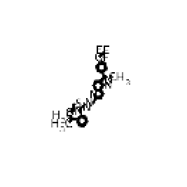 CC(C)c1ccccc1N1C(=O)CSC1=NN=Cc1ccc2c(ccc3c(-c4ccc(OC(F)(F)F)cc4)n(C)nc32)n1